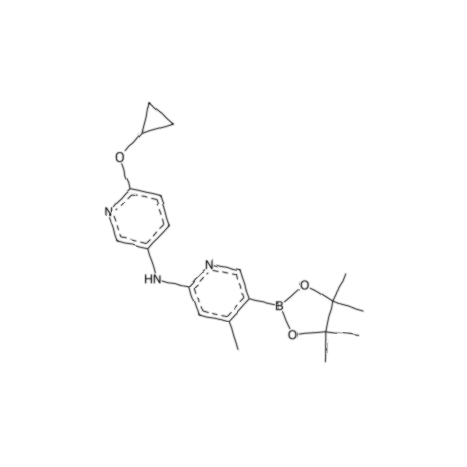 Cc1cc(Nc2ccc(OC3CC3)nc2)ncc1B1OC(C)(C)C(C)(C)O1